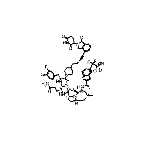 CN1CC[C@H]2CC[C@@H](C(=O)N[C@@H](CCC(N)=O)C(=O)N[C@@H](Cc3ccc(F)c(F)c3)C(=O)N3CCC(CCC#Cc4cccc5c4CN(C4CCC(=O)NC4=O)C5=O)CC3)N2C(=O)[C@@H](NC(=O)c2cc3cc(C(F)(F)P(=O)(O)O)ccc3s2)C1